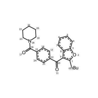 CCCCc1oc2ccccc2c1C(=O)c1ccc(C(=O)N2CCCCC2)cc1